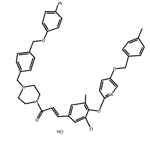 Cc1ccc(COc2ccc(Oc3c(C)cc(C=CC(=O)N4CCN(Cc5ccc(COc6ccc(C(C)C)cc6)cc5)CC4)cc3Cl)nc2)cc1.Cl